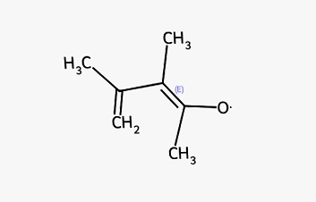 C=C(C)/C(C)=C(\C)[O]